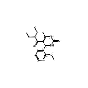 CCN(CC)C(=O)C1=C(C)NC(=S)NC1c1ccccc1OC